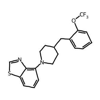 FC(F)(F)Oc1ccccc1CC1CCN(c2cccc3scnc23)CC1